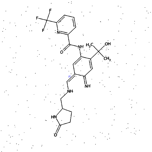 CC(C)(O)C1=CC(=N)/C(=C\NCC2CCC(=O)N2)C=C1NC(=O)c1cccc(C(F)(F)F)n1